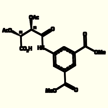 COC(=O)c1cc(NC(=O)[C@H](OC(C)=O)[C@@H](OC(C)=O)C(=O)O)cc(C(=O)OC)c1